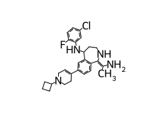 C/C(N)=C1/NCCC(Nc2cc(Cl)ccc2F)c2cc(C3=CCN(C4CCC4)CC3)ccc21